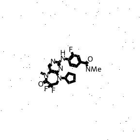 CNC(=O)c1ccc(Nc2ncc3c(n2)N(C2CCCC2)CC(F)(F)C(=O)N3C)c(F)c1